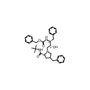 CC(C)(C)NC(=O)[C@@H]1CC(Cc2ccccc2)CN1C[C@@H](O)[C@H](Cc1ccccc1)NC(=O)OCc1ccccc1